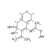 C=C(C)C1=C(/N=C(\C)SCCC)C2=CCCC=C2CC1(CCC)CCC